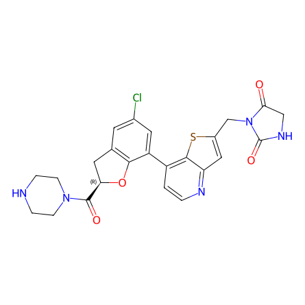 O=C([C@H]1Cc2cc(Cl)cc(-c3ccnc4cc(CN5C(=O)CNC5=O)sc34)c2O1)N1CCNCC1